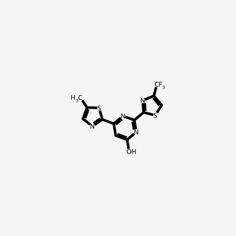 Cc1cnc(-c2cc(O)nc(-c3nc(C(F)(F)F)cs3)n2)s1